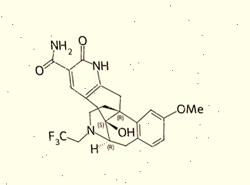 COc1ccc2c(c1)[C@]13CCN(CC(F)(F)F)[C@H](C2)[C@]1(O)Cc1cc(C(N)=O)c(=O)[nH]c1C3